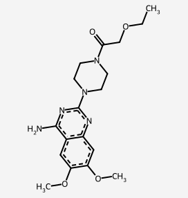 CCOCC(=O)N1CCN(c2nc(N)c3cc(OC)c(OC)cc3n2)CC1